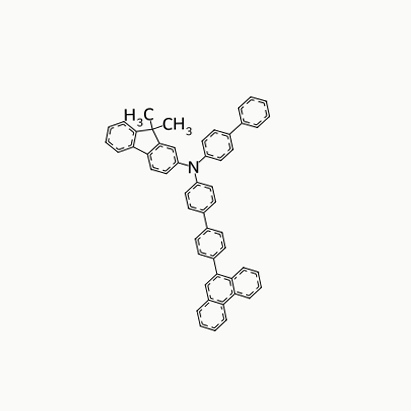 CC1(C)c2ccccc2-c2ccc(N(c3ccc(-c4ccccc4)cc3)c3ccc(-c4ccc(-c5cc6ccccc6c6ccccc56)cc4)cc3)cc21